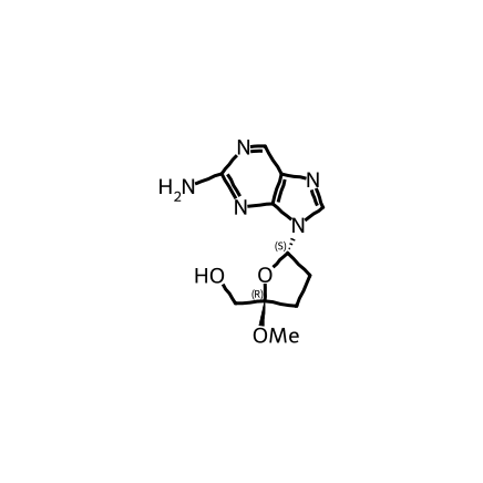 CO[C@]1(CO)CC[C@@H](n2cnc3cnc(N)nc32)O1